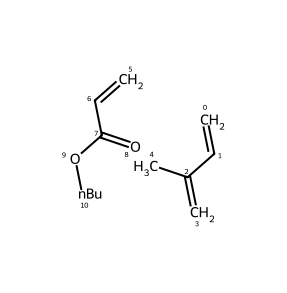 C=CC(=C)C.C=CC(=O)OCCCC